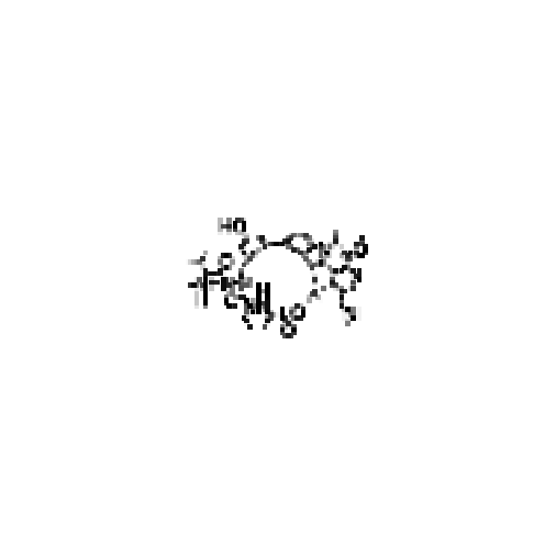 CCn1c(-c2cc(CNC)cnc2[C@H](C)OC)c2c3cc(ccc31)-c1cc(O)cc(c1)C[C@H](NC(=O)C(NC)C(C)C)C(=O)N1CCC[C@H](N1)C(=O)OCC(C)(C)C2